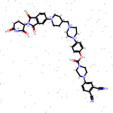 N#Cc1ccc(N2CCN(C(=O)Oc3ccc(N4CCN(CC5CCN(c6ccc7c(c6)C(=O)N(C6CCC(=O)NC6=O)C7=O)CC5)CC4)cc3)CC2)cc1C#N